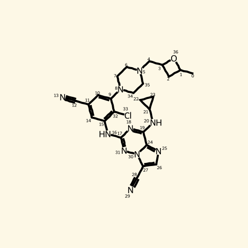 CC1CC(CN2CCN(c3cc(C#N)cc(Nc4nc(NC5CC5)c5ncc(C#N)n5n4)c3Cl)CC2)O1